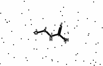 S=C(S)NSCl